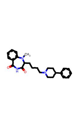 CN1c2ccccc2C(=O)NC(=O)C1CCCCN1CCC(c2ccccc2)CC1